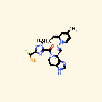 C/C=C1/C=C(C)C=CN1/N=C/[C@H]1c2nc[nH]c2CCN1C(=O)c1nc(C(F)P)nn1C